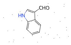 O=Cc1c[nH]c2c[c]ccc12